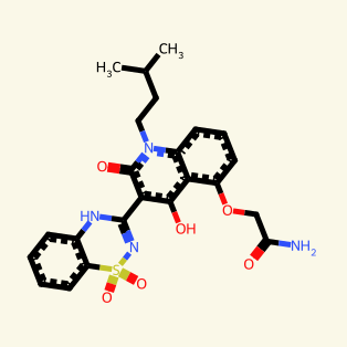 CC(C)CCn1c(=O)c(C2=NS(=O)(=O)c3ccccc3N2)c(O)c2c(OCC(N)=O)cccc21